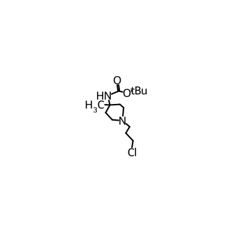 CC1(NC(=O)OC(C)(C)C)CCN(CCCCl)CC1